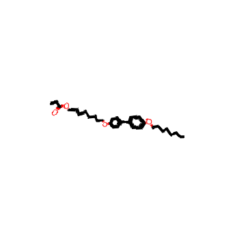 C=CC(=O)OCCCCCCCCOc1ccc(-c2ccc(OCCCCCCCC)cc2)cc1